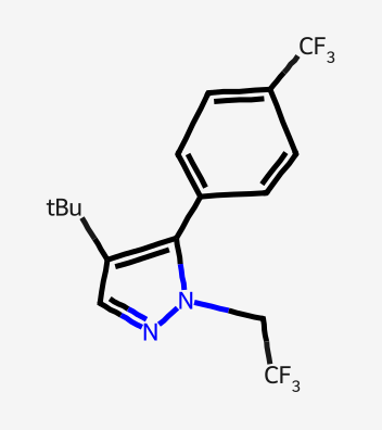 CC(C)(C)c1cnn(CC(F)(F)F)c1-c1ccc(C(F)(F)F)cc1